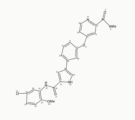 CNC(=O)c1cc(Oc2cccc(-c3c[nH]c(C(=O)Nc4cc(Cl)ccc4OC)c3)c2)ccn1